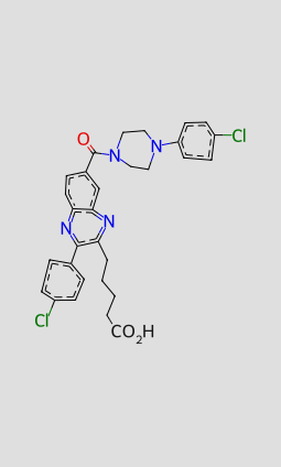 O=C(O)CCCCc1nc2cc(C(=O)N3CCN(c4ccc(Cl)cc4)CC3)ccc2nc1-c1ccc(Cl)cc1